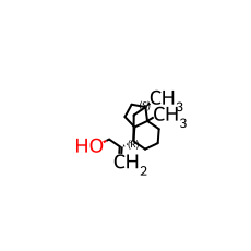 C=C(CO)[C@@]12CCCC3(C)C1CC[C@@]3(C)C2